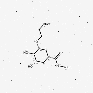 CCCCCCCCCCCCO[C@@H]1C[C@H](C(=O)NCCCC)C[C@H](O)C1O